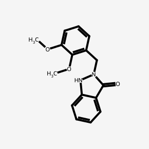 COc1cccc(Cn2[nH]c3ccccc3c2=O)c1OC